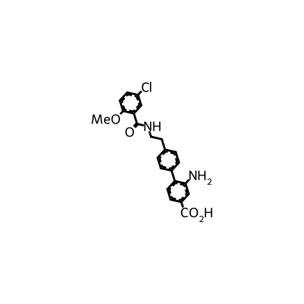 COc1ccc(Cl)cc1C(=O)NCCc1ccc(-c2ccc(C(=O)O)cc2N)cc1